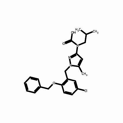 Cc1cc(N(CC(C)C)C(=O)O)nn1Cc1cc(Cl)ccc1OCc1ccccc1